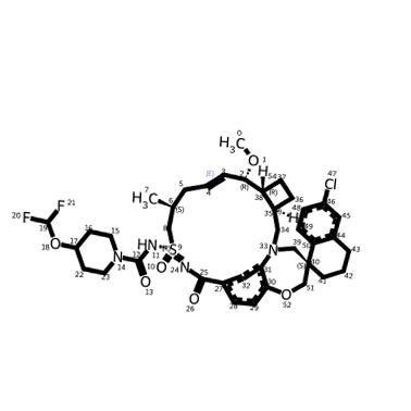 CO[C@H]1/C=C/C[C@H](C)C[S@@](=O)(NC(=O)N2CCC(OC(F)F)CC2)=NC(=O)c2ccc3c(c2)N(C[C@@H]2CC[C@H]21)C[C@@]1(CCCc2cc(Cl)ccc21)CO3